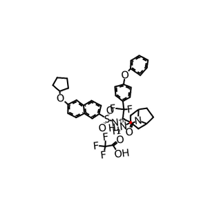 NC1CC2CCC(C1)N2C(=O)[C@H](NS(=O)(=O)c1ccc2cc(OC3CCCC3)ccc2c1)C(F)(F)c1ccc(Oc2ccccc2)cc1.O=C(O)C(F)(F)F